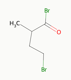 CC(CCBr)C(=O)Br